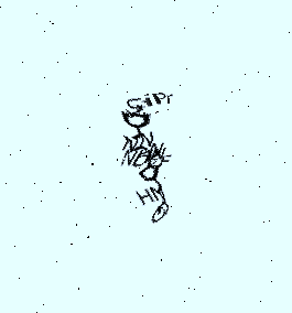 CC(C)Sc1ccc(-c2cnc(N)c(-c3nnc(-c4ccc(CN[C@@H]5CCOC5)cc4F)o3)n2)cc1